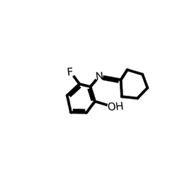 Oc1cccc(F)c1N=C1CCCCC1